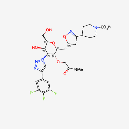 CNC(=O)CO[C@@H]1[C@@H](n2cc(-c3cc(F)c(F)c(F)c3)nn2)[C@@H](O)[C@@H](CO)O[C@@H]1C[C@H]1CC(C2CCN(C(=O)O)CC2)=NO1